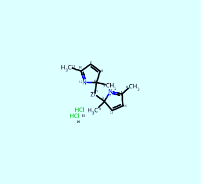 CC1=N[C](C)([Zr][C]2(C)C=CC(C)=N2)C=C1.Cl.Cl